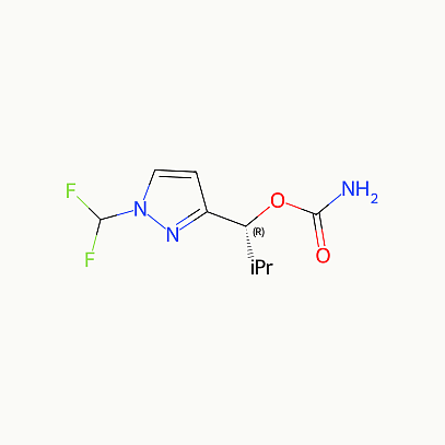 CC(C)[C@@H](OC(N)=O)c1ccn(C(F)F)n1